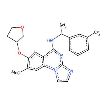 COc1cc2c(cc1OC1CCOC1)c(N[C@H](C)c1cccc(C(F)(F)F)c1)nc1nccn12